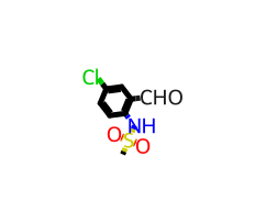 CS(=O)(=O)Nc1ccc(Cl)cc1C=O